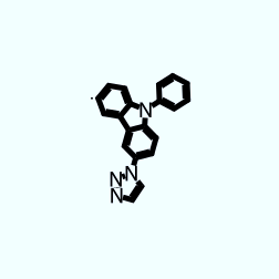 [c]1ccc2c(c1)c1cc(-n3ccnn3)ccc1n2-c1ccccc1